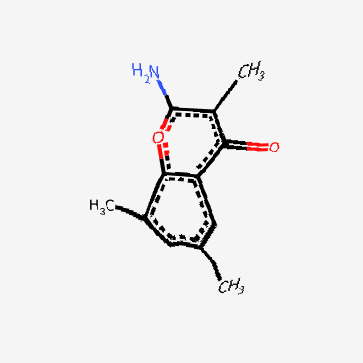 Cc1cc(C)c2oc(N)c(C)c(=O)c2c1